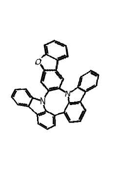 c1ccc2c(c1)oc1cc3c(cc12)n1c2ccccc2c2cccc(c4cccc5c6ccccc6n3c54)c21